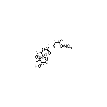 CC(CCCC(=O)O[C@@H]1CO[C@H]2[C@@H]1OC[C@H]2O)O[N+](=O)[O-]